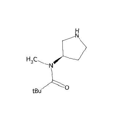 CN(C(=O)C(C)(C)C)[C@@H]1CCNC1